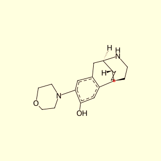 Oc1cc2c(cc1N1CCOCC1)C[C@H]1NCC[C@@]23CCCC[C@@H]13